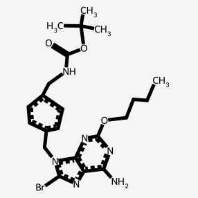 CCCCOc1nc(N)c2nc(Br)n(Cc3ccc(CNC(=O)OC(C)(C)C)cc3)c2n1